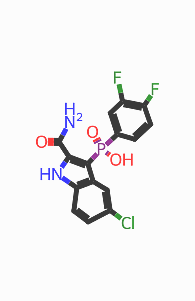 NC(=O)c1[nH]c2ccc(Cl)cc2c1P(=O)(O)c1ccc(F)c(F)c1